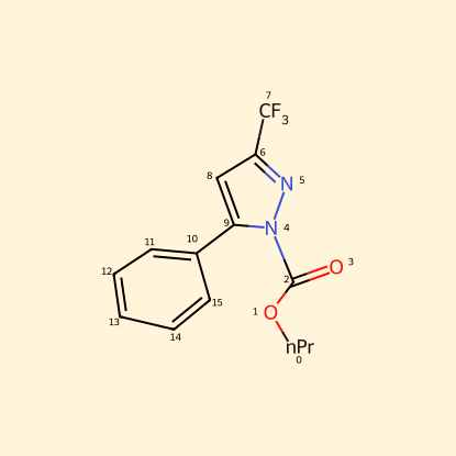 CCCOC(=O)n1nc(C(F)(F)F)cc1-c1ccccc1